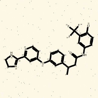 CC(CC(=O)Nc1ccc(Cl)c(C(F)(F)F)c1)c1cccc(Oc2ccnc(C3=NCCN3)c2)c1